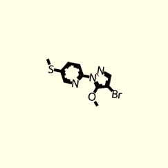 COc1c(Br)cnn1-c1ccc(SC)cn1